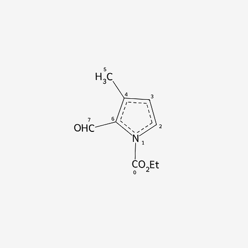 CCOC(=O)n1ccc(C)c1C=O